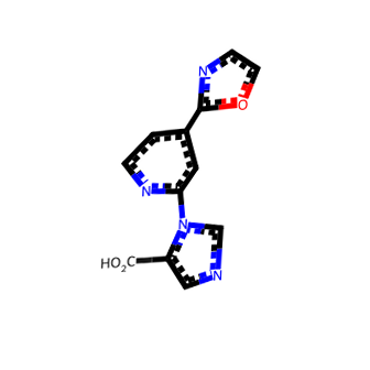 O=C(O)c1cncn1-c1cc(-c2ncco2)ccn1